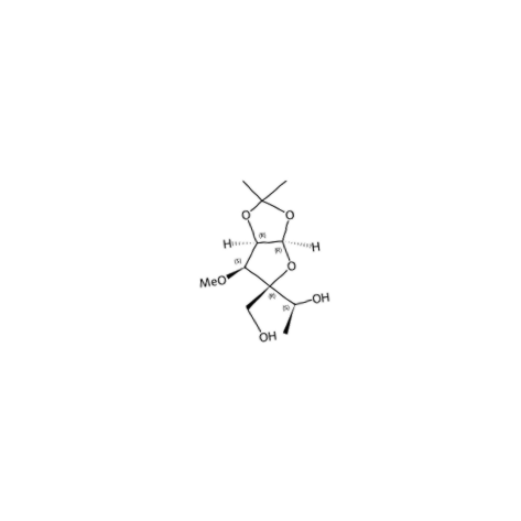 CO[C@H]1[C@H]2OC(C)(C)O[C@H]2O[C@]1(CO)[C@H](C)O